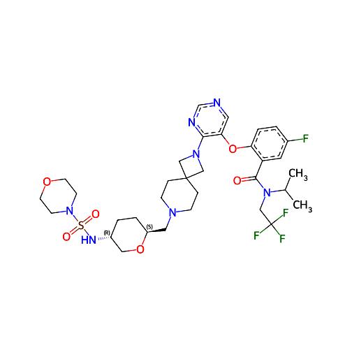 CC(C)N(CC(F)(F)F)C(=O)c1cc(F)ccc1Oc1cncnc1N1CC2(CCN(C[C@@H]3CC[C@@H](NS(=O)(=O)N4CCOCC4)CO3)CC2)C1